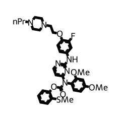 CCCN1CCN(CCOc2ccc(Nc3nccc(N(C(=O)Oc4ccccc4SC)c4ccc(OC)cc4OC)n3)cc2F)CC1